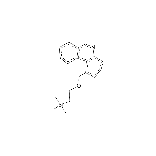 C[Si](C)(C)CCOCc1cccc2ncc3ccccc3c12